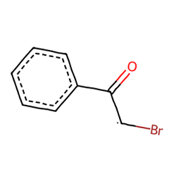 O=C([CH]Br)c1ccccc1